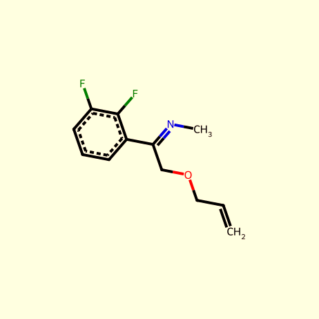 C=CCOC/C(=N\C)c1cccc(F)c1F